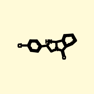 O=C1c2ccccc2C2NC(c3ccc(Cl)cc3)CN12